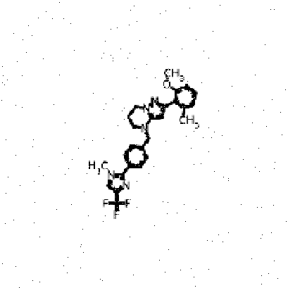 COc1cccc(C)c1-c1cc2n(n1)CCCN2Cc1ccc(-c2nc(C(F)(F)F)cn2C)cc1